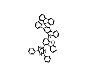 c1ccc(-c2nc(-c3ccccc3)nc(-c3ccc(-n4c5ccccc5c5cc6c(cc54)-c4ccccc4C64c5ccccc5-c5ccccc54)c4oc5ccccc5c34)n2)cc1